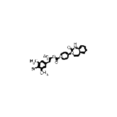 CC(=O)[C@@H](Cc1cc(C)c(Br)c(C)c1)OC(=O)N1CCC(N2CCc3ccccc3NC2=O)CC1